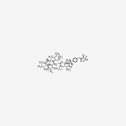 CC[C@H](C)[C@@H]([C@@H](CC(=O)N1CCC[C@H]1[C@H](OC)[C@@H](C)C(=O)NS(=O)(=O)c1ccc(CNC(=O)C(F)(F)F)cc1)OC)N(C)C(=O)C(NC(=O)[C@H](C(C)C)N(C)C)C(C)C